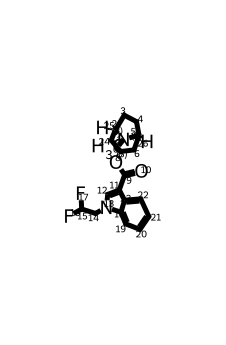 CN1[C@@H]2CC[C@H]1C[C@H](OC(=O)c1cn(CC(F)F)c3ccccc13)C2